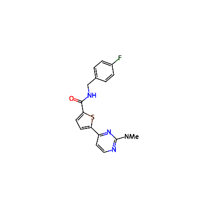 CNc1nccc(-c2ccc(C(=O)NCc3ccc(F)cc3)s2)n1